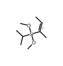 C/C=C(/C)[Si](OC)(OC)C(C)C